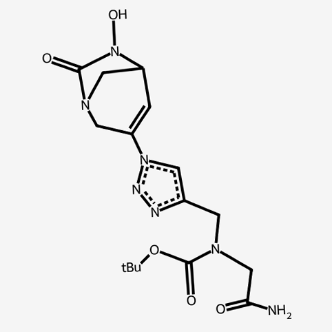 CC(C)(C)OC(=O)N(CC(N)=O)Cc1cn(C2=CC3CN(C2)C(=O)N3O)nn1